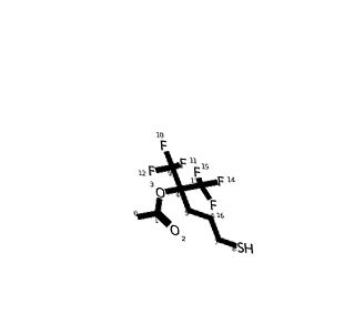 CC(=O)OC(CCCS)(C(F)(F)F)C(F)(F)F